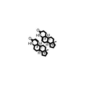 C[C@@]12CCC[C@H]1[C@@H]1CC=C3NC(=O)CC[C@]3(C)[C@H]1CC2.C[C@@]12CCC[C@H]1[C@@H]1CCC3NC(=O)C=C[C@]3(C)[C@H]1CC2